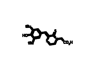 CC(C)(C)c1cc(C=C2SCCN(CC(=O)O)C2=S)cc(C(C)(C)C)c1O